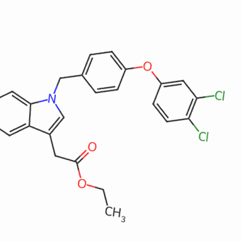 CCOC(=O)Cc1cn(Cc2ccc(Oc3ccc(Cl)c(Cl)c3)cc2)c2ccccc12